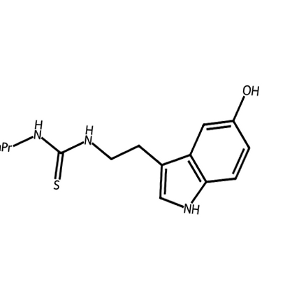 CCCNC(=S)NCCc1c[nH]c2ccc(O)cc12